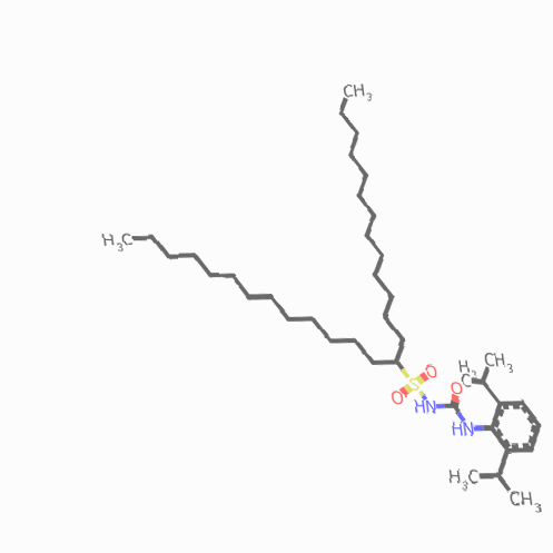 CCCCCCCCCCCCCC(CCCCCCCCCCCCC)S(=O)(=O)NC(=O)Nc1c(C(C)C)cccc1C(C)C